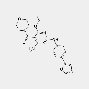 CCOc1nc(Nc2ccc(-c3cnco3)cc2)cc(N)c1C(=O)N1CCOCC1